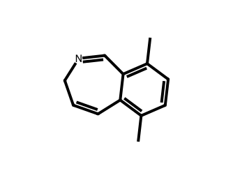 Cc1ccc(C)c2c1C=CCN=C2